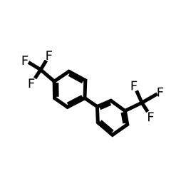 FC(F)(F)c1ccc(-c2cccc(C(F)(F)F)c2)cc1